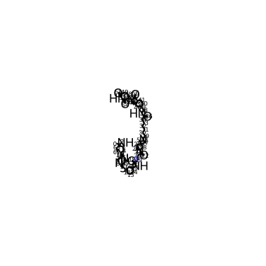 CC1(N)CCN(c2cnc(Sc3cccc(NC(=O)/C=C/C(=O)N4CCC5(CN(CCCCCCC(=O)NCc6ccc7c(c6)CN(C6CCC(=O)NC6=O)C7=O)C5)C4)c3)cn2)CC1